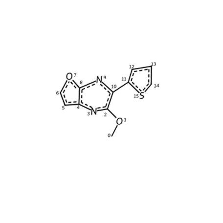 COc1nc2ccoc2nc1-c1cccs1